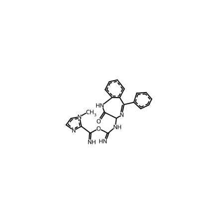 Cn1ccnc1C(=N)OC(=N)NC1N=C(c2ccccc2)c2ccccc2NC1=O